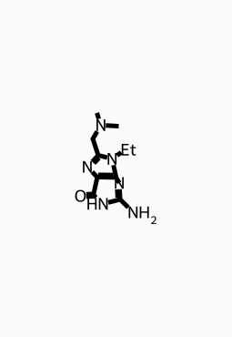 CCn1c(CN(C)C)nc2c(=O)[nH]c(N)nc21